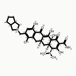 CN(C)[C@@H]1C(O)=C(C(N)=O)C(=O)[C@@]2(O)C(O)=C3C(=O)c4c(O)cc(CN5CC6CCCC6C5)c(Cl)c4C[C@H]3C[C@@H]12